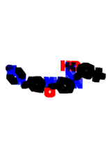 CN1CCN(Cc2ccc(NC(=O)c3ccc4nc(-c5cc(C(C)(C)C)ccc5O)[nH]c4c3)cc2)CC1